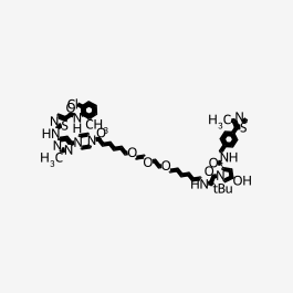 Cc1nc(Nc2ncc(C(=O)Nc3c(C)cccc3Cl)s2)cc(N2CCN(C(=O)CCCCCOCCOCCOCCCCCCNC(C(=O)N3C[C@H](O)C[C@H]3C(=O)NCc3ccc(-c4scnc4C)cc3)C(C)(C)C)CC2)n1